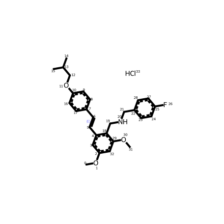 COc1cc(/C=C/c2ccc(OCC(C)C)cc2)c(CNCc2ccc(F)cc2)c(OC)c1.Cl